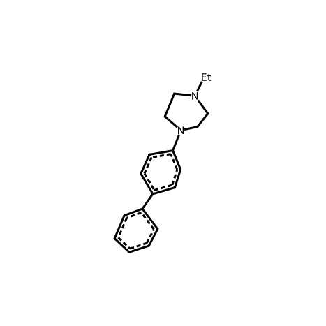 CCN1CCN(c2ccc(-c3ccccc3)cc2)CC1